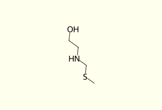 CSCNCCO